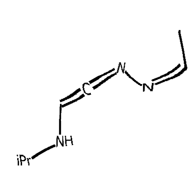 C/C=N\N=C=CNC(C)C